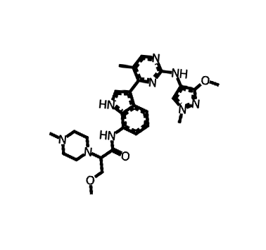 COCC(C(=O)Nc1cccc2c(-c3nc(Nc4cn(C)nc4OC)ncc3C)c[nH]c12)N1CCN(C)CC1